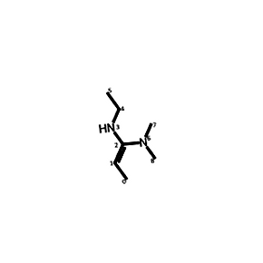 CC=C(NCC)N(C)C